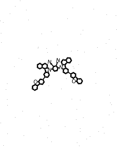 N#Cc1c(-n2c3ccc(-c4ccc5c(c4)oc4ccccc45)cc3c3c4ccccc4ccc32)ccc(-n2c3ccc(-c4ccc5c(c4)oc4ccccc45)cc3c3c4ccccc4ccc32)c1C#N